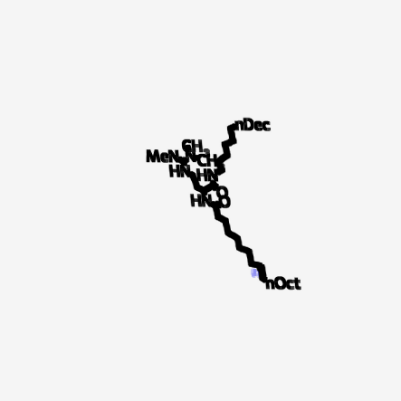 CCCCCCCC/C=C/CCCCCCCC(=O)NC(CCNC(NC)N(C)C)C(=O)NCCCCCCCCCCCCCCCC